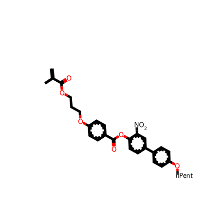 C=C(C)C(=O)OCCCOc1ccc(C(=O)Oc2ccc(-c3ccc(OCCCCC)cc3)cc2[N+](=O)[O-])cc1